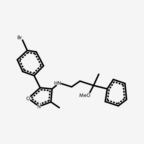 COC(C)(CCNc1c(C)noc1-c1ccc(Br)cc1)c1ccccc1